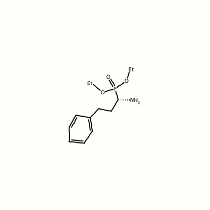 CCOP(=O)(OCC)[C@H](N)CCc1ccccc1